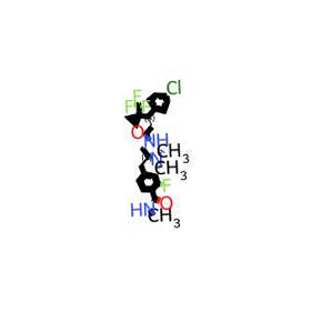 CNC(=O)c1ccc(C[C@@H](CNC(=O)C[C@@H](c2ccc(Cl)cc2)C2(C(F)(F)F)CC2)N(C)C)cc1F